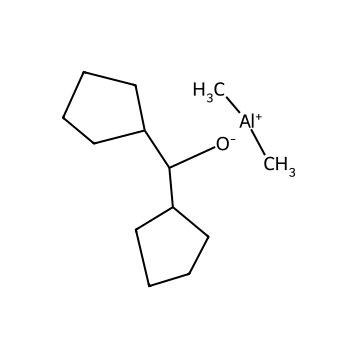 [CH3][Al+][CH3].[O-]C(C1CCCC1)C1CCCC1